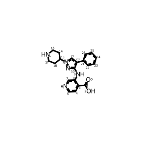 O=C(O)c1ccncc1Nc1nn(C2CCNCC2)cc1-c1ccccc1